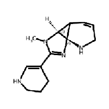 CN1C(C2=CNCCC2)=N[C@@]23NCC=CC2[C@H]13